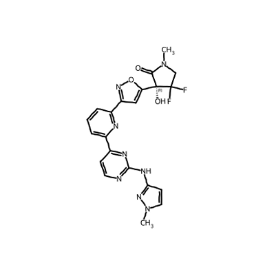 CN1CC(F)(F)[C@@](O)(c2cc(-c3cccc(-c4ccnc(Nc5ccn(C)n5)n4)n3)no2)C1=O